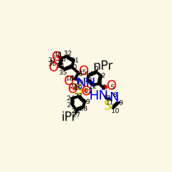 CCCc1cc(C(=O)Nc2nccs2)ccc1OC(C(=O)NS(=O)(=O)c1ccc(C(C)C)cc1)c1ccc2c(c1)OCO2